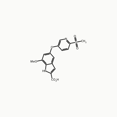 COc1cc(Oc2ccc(S(C)(=O)=O)nc2)cc2cc(C(=O)O)[nH]c12